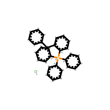 [Cl-].c1ccc(Cc2ccccc2[P+](c2ccccc2)(c2ccccc2)c2ccccc2)cc1